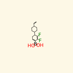 C=CC1CCC(C2CC=C(B(O)O)C(F)=C2F)CC1